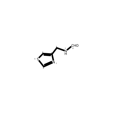 O=CNCc1cscn1